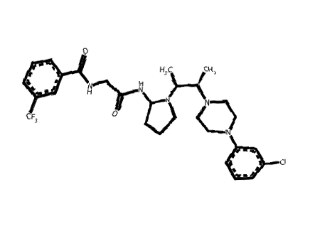 CC([C@@H](C)N1CCN(c2cccc(Cl)c2)CC1)N1CCCC1NC(=O)CNC(=O)c1cccc(C(F)(F)F)c1